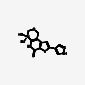 CCC(C)[C@]1(O)COCc2c1[nH]c(=O)c1sc(-c3cn[nH]c3)cc21